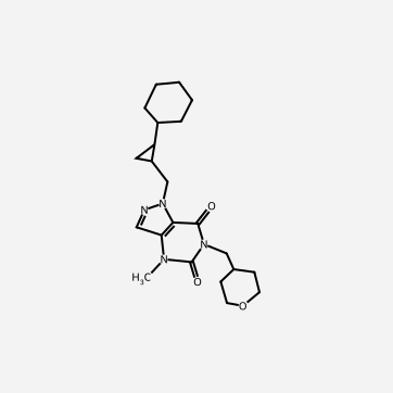 Cn1c(=O)n(CC2CCOCC2)c(=O)c2c1cnn2CC1CC1C1CCCCC1